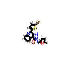 Cc1ccc(CNC(=O)c2cc(-c3ccc(Br)s3)nc3ccccc23)o1